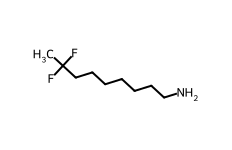 CC(F)(F)CCCCCCCN